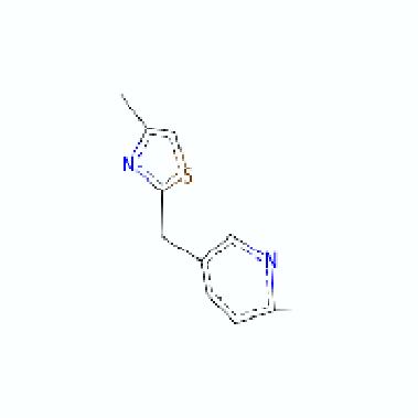 Cc1ccc(Cc2nc(C)cs2)cn1